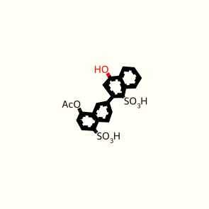 CC(=O)Oc1ccc(S(=O)(=O)O)c2ccc(-c3cc(O)c4ccccc4c3S(=O)(=O)O)cc12